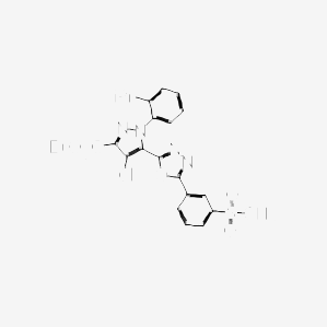 CCOC(=O)c1nn(-c2ccccc2C(C)C)c(-c2nnc(-c3cccc(S(C)(=O)=O)c3)o2)c1Cl